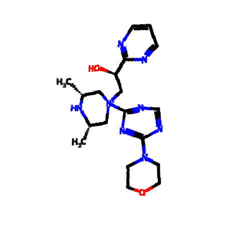 C[C@@H]1C[N+](C[C@@H](O)c2ncccn2)(c2ncnc(N3CCOCC3)n2)C[C@H](C)N1